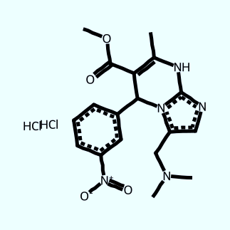 COC(=O)C1=C(C)Nc2ncc(CN(C)C)n2C1c1cccc([N+](=O)[O-])c1.Cl.Cl